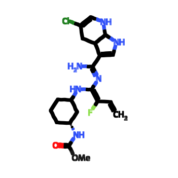 C=C/C(F)=C(\N=C(/N)C1=CNC2NC=C(Cl)CC12)NC1CCC[C@@H](NC(=O)OC)C1